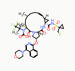 C[C@H]1CCC=C[C@@H]2C[C@@]2(C(=O)NS(=O)(=O)C2(CF)CC2)NC(=O)[C@@H]2C[C@@H](Oc3ncc(N4CCOCC4)c4ccccc34)CN2C(=O)[C@@H](N(C(=O)O)C(C)(C)C(F)(F)F)[C@H](C)C1